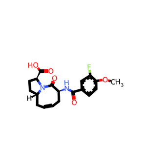 COc1ccc(C(=O)N[C@H]2CC=CC[C@@H]3CC[C@@H](C(=O)O)N3C2=O)cc1F